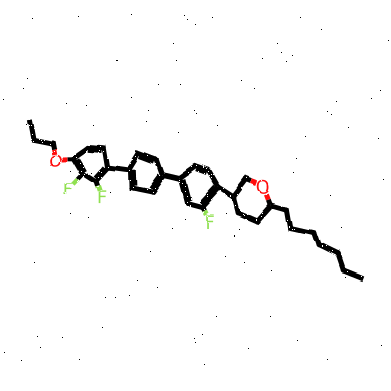 CCCCCCCC1CCC(c2ccc(-c3ccc(-c4ccc(OCCC)c(F)c4F)cc3)cc2F)CO1